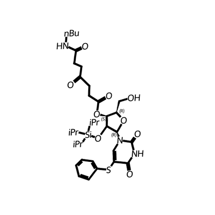 CCCCNC(=O)CCC(=O)CCC(=O)O[C@@H]1C(O[Si](C(C)C)(C(C)C)C(C)C)[C@H](n2cc(Sc3ccccc3)c(=O)[nH]c2=O)O[C@@H]1CO